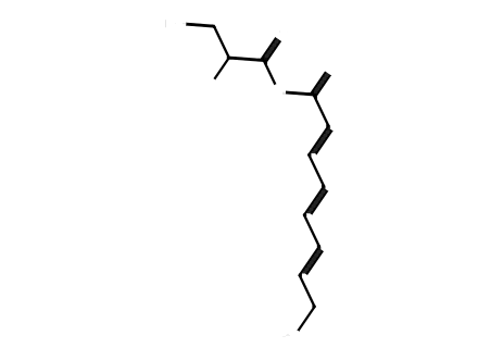 CCCCCCCCCCC/C=C/C=C/C=C/C(=O)OC(=O)C(O)CO